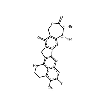 CC[C@H]1C(=O)OCc2c(cc3n(c2=O)Cc2c-3nc3cc(F)c(C)c4c3c2NCC4)[C@H]1O